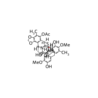 COc1cc2c(cc1O)CCN[C@]21CS[C@@H]2c3c(OC(C)=O)c(C)c4c(c3[C@H](COC1=O)N1[C@@H]2[C@@H]2N[C@@H](Cc3cc(C)c(OC)c(O)c32)[C@@H]1O)OCO4